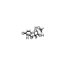 O=c1ccn([C@@H]2O[C@H](C3(O)CC3)C(O)C2(F)F)c(=O)[nH]1